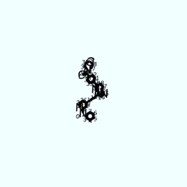 CN(c1ccccc1)c1cc(C#Cc2cnc3ccc(-c4ccc(C(=O)N5CCOCC5)cc4)nn23)ccn1